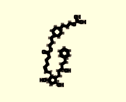 O=C(CCC/C=C\C[C@@H]1[C@@H](CC[C@@H](O)CCc2ccccc2)[C@H](O)C[C@@H]1O)OCCCN1CCN(CCCON(O)O)CC1